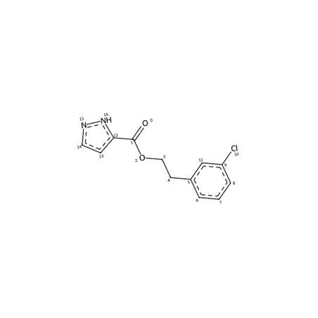 O=C(OCCc1cccc(Cl)c1)c1ccn[nH]1